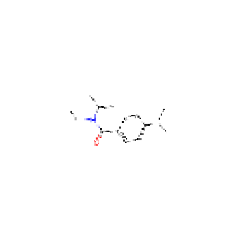 CCN(C(=O)c1ccc(C(C)C)cc1)C(C)C